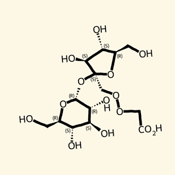 O=C(O)COOC[C@@]1(O[C@H]2O[C@H](CO)[C@@H](O)[C@H](O)[C@H]2O)O[C@H](CO)[C@@H](O)[C@@H]1O